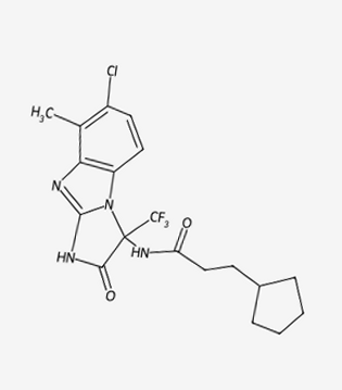 Cc1c(Cl)ccc2c1nc1n2C(NC(=O)CCC2CCCC2)(C(F)(F)F)C(=O)N1